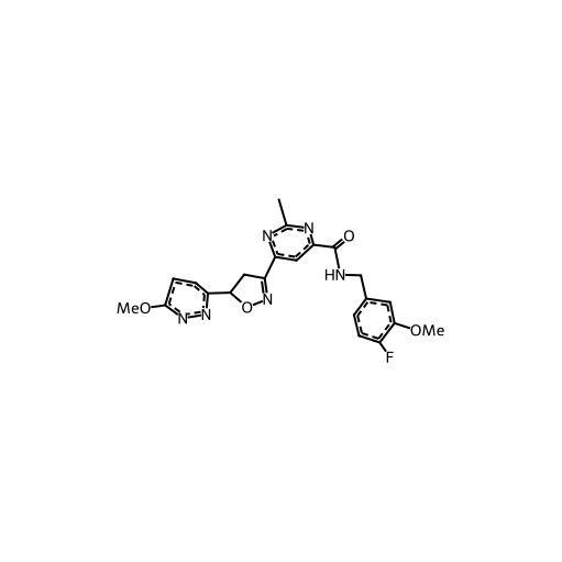 COc1ccc(C2CC(c3cc(C(=O)NCc4ccc(F)c(OC)c4)nc(C)n3)=NO2)nn1